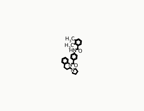 Cc1cccc(C(=O)Nc2ccc(C(=O)N3c4ccccc4CCC3N3CCCC3)cc2)c1C